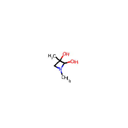 CN1CC(C)(O)C1O